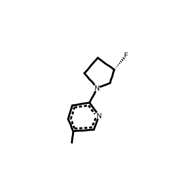 Cc1ccc(N2CC[C@H](F)C2)nc1